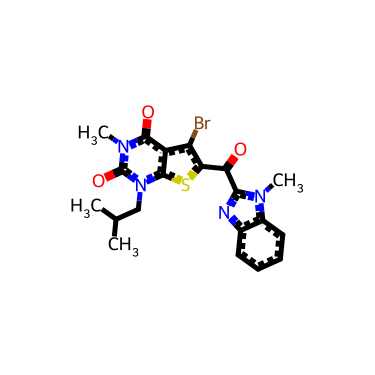 CC(C)Cn1c(=O)n(C)c(=O)c2c(Br)c(C(=O)c3nc4ccccc4n3C)sc21